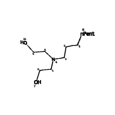 CCCCCCCCN(CCO)CCO